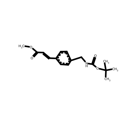 COC(=O)C=Cc1ccc(CNC(=O)OC(C)(C)C)cc1